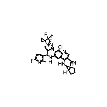 Cc1nc(F)ccc1C(Nc1cc(Cl)c2ncc(C#N)c(NC3[C@H]4CCC[C@@H]34)c2c1)c1cn(C2(C(F)(F)F)CC2)nn1